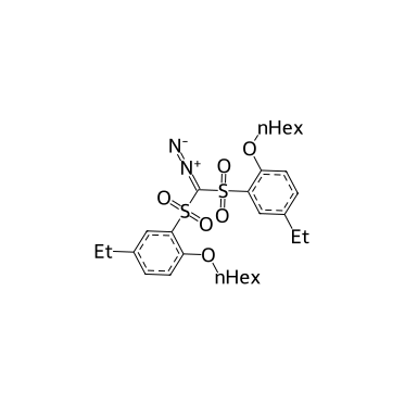 CCCCCCOc1ccc(CC)cc1S(=O)(=O)C(=[N+]=[N-])S(=O)(=O)c1cc(CC)ccc1OCCCCCC